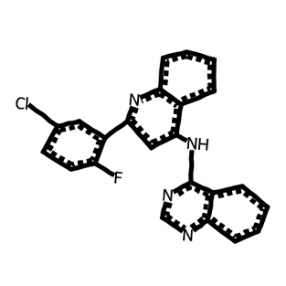 Fc1ccc(Cl)cc1-c1cc(Nc2ncnc3ccccc23)c2ccccc2n1